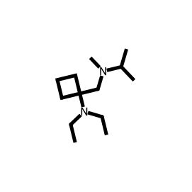 CCN(CC)C1(CN(C)C(C)C)CCC1